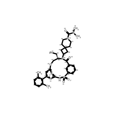 Cc1cccc(C)c1-c1cc2nc(n1)NS(=O)(=O)c1cccc(c1)C(=O)N(C1CC3(CCN(C(=O)N(C)C)CC3)C1)[C@H](CC(C)C)CO2